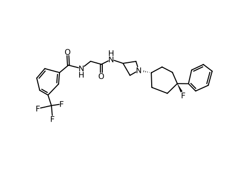 O=C(CNC(=O)c1cccc(C(F)(F)F)c1)NC1CN([C@H]2CC[C@@](F)(c3ccccc3)CC2)C1